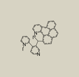 C=CC(c1cnccc1-c1cccc[n+]1I)c1ccc2ccc3cccc4c5ccc[n+](I)c5c1c2c34